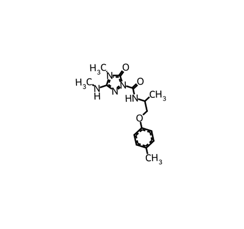 CNc1nn(C(=O)NC(C)COc2ccc(C)cc2)c(=O)n1C